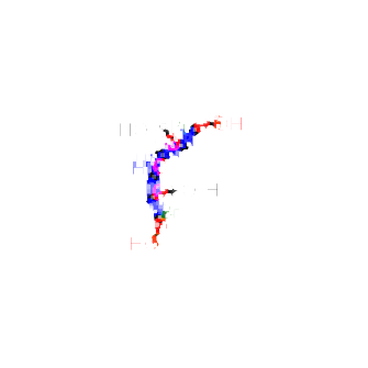 Cc1cc(N=Nc2cc(C)c(NC(=O)Nc3cc(C)c(/N=N/c4cc(C)c(/N=N/c5ccc(OCCCSO)cc5Br)cc4OCCCS(=O)(=O)O)cc3C)cc2C)c(OCCCS(=O)(=O)O)cc1N=Nc1ccc(OCCCSO)cc1Br